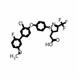 COc1ccc(F)c(-c2ccc(Oc3ccc(N4N=C(C(F)(F)F)CC4CC(=O)O)cc3)c(Cl)c2)c1